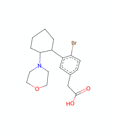 O=C(O)Cc1ccc(Br)c(C2CCCCC2N2CCOCC2)c1